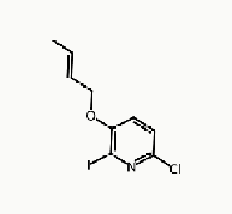 C/C=C/COc1ccc(Cl)nc1I